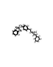 c1ccc2sc(Oc3ccc(CCNCCC4CCCCC4)cc3)nc2c1